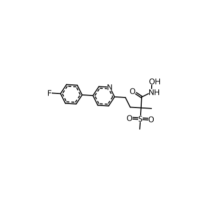 CC(CCc1ccc(-c2ccc(F)cc2)cn1)(C(=O)NO)S(C)(=O)=O